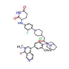 COc1cc(-c2cn(C)c(=O)c3cnccc23)cc(Cl)c1CN1C2CCC1CN(C(=O)CC1CCN(c3ccc(NC4CCC(=O)NC4=O)cc3F)CC1)C2